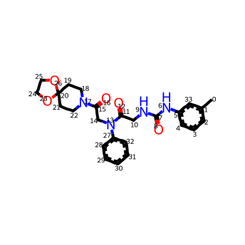 Cc1cccc(NC(=O)NCC(=O)N(CC(=O)N2CCC3(CC2)OCCO3)c2ccccc2)c1